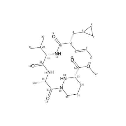 C/C=C/[C@@H](CC1CC1)C(=O)N[C@H](C(=O)N[C@@H](C)C(=O)N1CCC[C@@H](C(=O)OC)N1)C(C)C